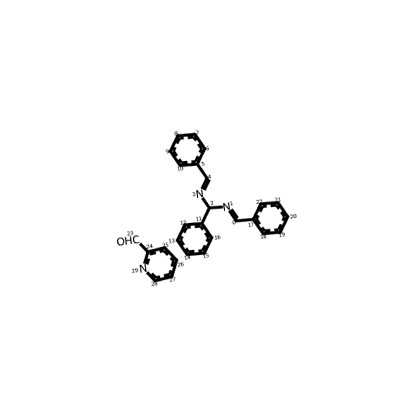 C(=NC(N=Cc1ccccc1)c1ccccc1)c1ccccc1.O=Cc1ccccn1